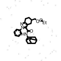 CCOOCC1CCc2nn(-c3ccccc3)c(C(=O)NC3C4CC5CC(C4)CC3C5)c2C1